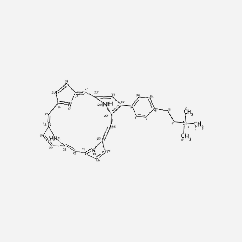 C[Si](C)(C)CCc1ccc(-c2cc3cc4nc(cc5ccc(cc6nc(cc2[nH]3)C=C6)[nH]5)C=C4)cc1